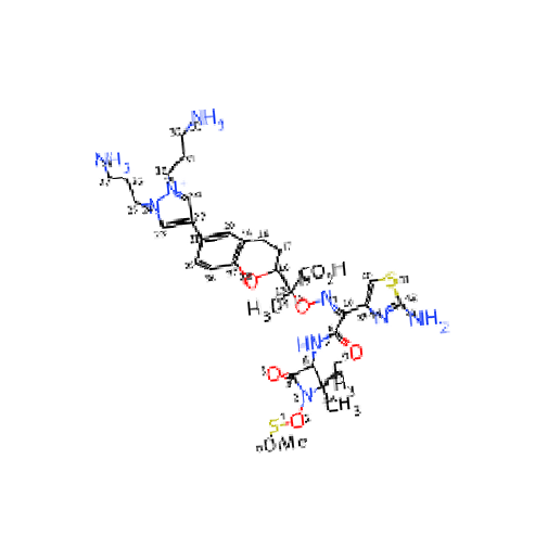 COSON1C(=O)[C@@H](NC(=O)/C(=N\OC(C)(C(=O)O)C2CCc3cc(-c4cn(CCCN)[n+](CCCN)c4)ccc3O2)c2csc(N)n2)C1(C)C